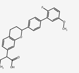 CCC(C(=O)O)c1ccc2c(c1)OC(c1ccc(-c3cc(OC)ccc3F)cc1)CC2